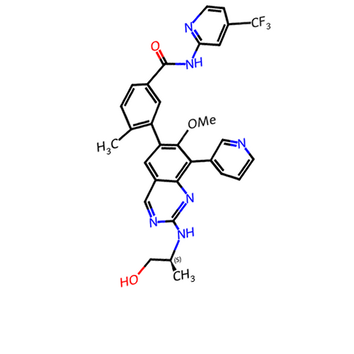 COc1c(-c2cc(C(=O)Nc3cc(C(F)(F)F)ccn3)ccc2C)cc2cnc(N[C@@H](C)CO)nc2c1-c1cccnc1